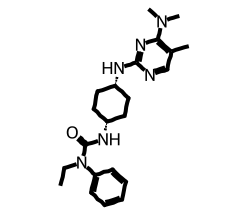 CCN(C(=O)N[C@H]1CC[C@@H](Nc2ncc(C)c(N(C)C)n2)CC1)c1ccccc1